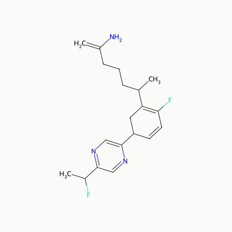 C=C(N)CCCC(C)C1=C(F)C=CC(c2cnc(C(C)F)cn2)C1